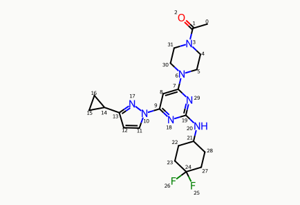 CC(=O)N1CCN(c2cc(-n3ccc(C4CC4)n3)nc(NC3CCC(F)(F)CC3)n2)CC1